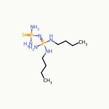 CCCCNP(N)(=NP(N)(N)=S)NCCCC